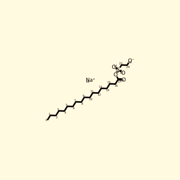 CCCCCCCCCCCCCCCCCC(=O)OS(=O)(=O)CC[O-].[Na+]